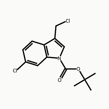 CC(C)(C)OC(=O)n1cc(CCl)c2ccc(Cl)cc21